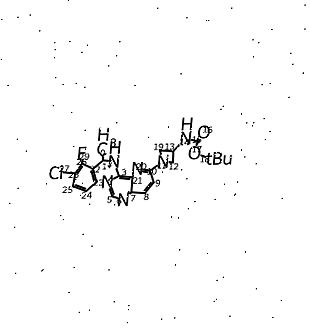 CC(Nc1ncnc2ccc(N3CC(NC(=O)OC(C)(C)C)C3)nc12)c1cccc(Cl)c1F